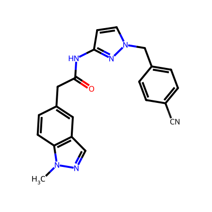 Cn1ncc2cc(CC(=O)Nc3ccn(Cc4ccc(C#N)cc4)n3)ccc21